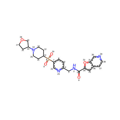 O=C(NCc1ccc(S(=O)(=O)C2CCN(C3CCOC3)CC2)cn1)c1cc2ccncc2o1